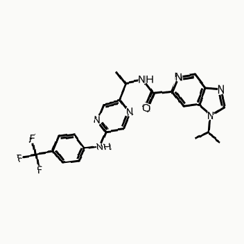 CC(NC(=O)c1cc2c(cn1)ncn2C(C)C)c1cnc(Nc2ccc(C(F)(F)F)cc2)cn1